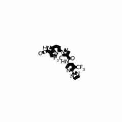 O=C=c1[nH]c2ccc(-n3ncc(C(=O)Nc4cnc(-n5nccn5)c(C(F)(F)F)c4)c3C(F)(F)F)n3ncc1c23